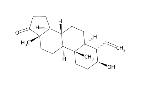 C=C[C@@H]1[C@@H](O)CC[C@@]2(C)[C@H]1CC[C@@H]1[C@@H]2CC[C@]2(C)C(=O)CC[C@@H]12